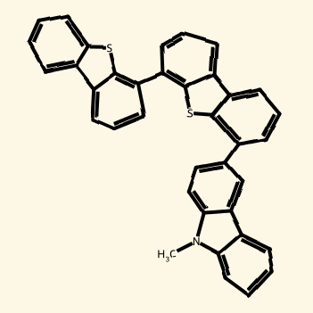 Cn1c2ccccc2c2cc(-c3cccc4c3sc3c(-c5cccc6c5sc5ccccc56)cccc34)ccc21